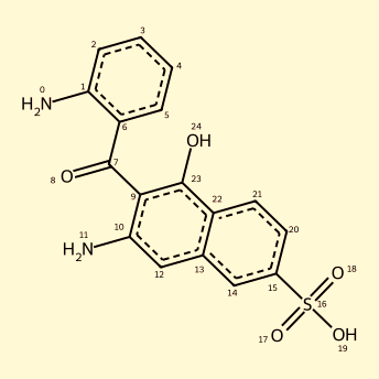 Nc1ccccc1C(=O)c1c(N)cc2cc(S(=O)(=O)O)ccc2c1O